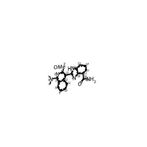 COc1nc(N(C)C)c2ccccc2c1-c1nc2c(C(N)=O)cccc2[nH]1